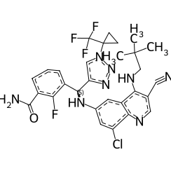 CC(C)(C)CNc1c(C#N)cnc2c(Cl)cc(N[C@H](c3cn(C4(C(F)(F)F)CC4)nn3)c3cccc(C(N)=O)c3F)cc12